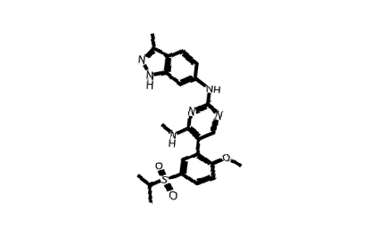 CNc1nc(Nc2ccc3c(C)n[nH]c3c2)ncc1-c1cc(S(=O)(=O)C(C)C)ccc1OC